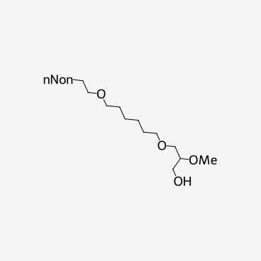 CCCCCCCCCCCOCCCCCCOCC(CO)OC